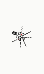 CCCCCCc1cc(CCCCCC)cc([Si](c2cc(CCCCCC)cc(CCCCCC)c2)(c2cc(CCCCCC)cc(CCCCCC)c2)C2C3C=CC=CC3C3CCC[CH]([Ti+3])C32)c1.[Cl-].[Cl-].[Cl-]